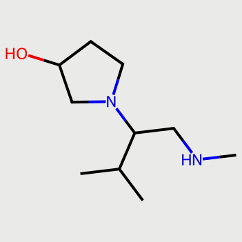 CNCC(C(C)C)N1CCC(O)C1